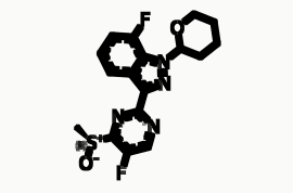 C[S@+]([O-])c1nc(-c2nn(C3CCCCO3)c3c(F)cccc23)ncc1F